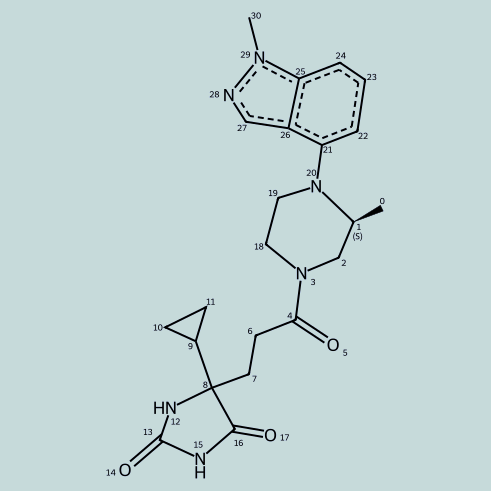 C[C@H]1CN(C(=O)CCC2(C3CC3)NC(=O)NC2=O)CCN1c1cccc2c1cnn2C